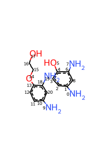 Nc1ccc(O)c(N)c1.Nc1ccc(OCCO)c(N)c1